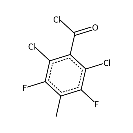 Cc1c(F)c(Cl)c(C(=O)Cl)c(Cl)c1F